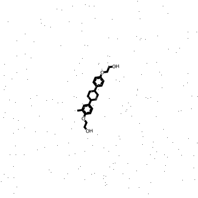 Cc1cc(C2CCC(c3ccc(OCCO)cc3)CC2)ccc1OCCO